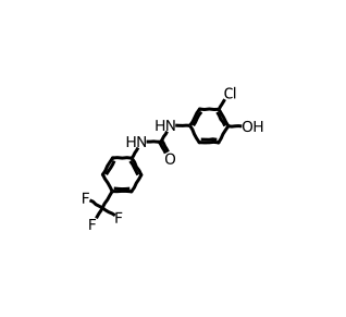 O=C(Nc1ccc(C(F)(F)F)cc1)Nc1ccc(O)c(Cl)c1